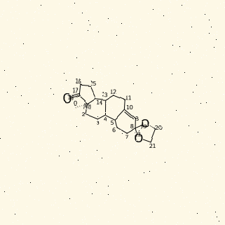 C[C@@]12CCC3C4CCC5(C=C4CCC3C1CCC2=O)OCCO5